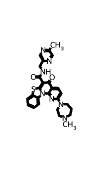 Cc1cnc(CNC(=O)c2c(=O)c3ccc(N4CCCN(C)CC4)nc3n3c2sc2ccccc23)cn1